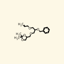 C=CCOCC(COCC1COC(C)(C)O1)OCc1ccccc1